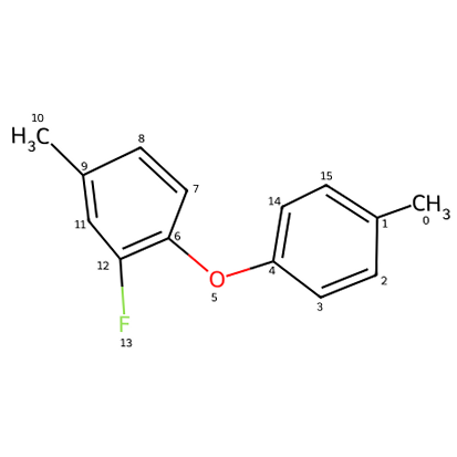 Cc1ccc(Oc2ccc(C)cc2F)cc1